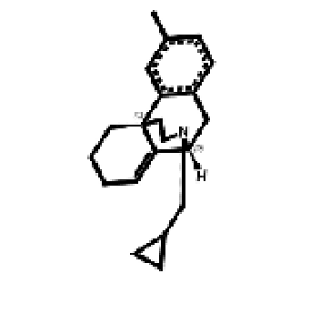 Cc1ccc2c(c1)[C@@]13CCCC=C1[C@@H](C2)N(CC1CC1)CC3